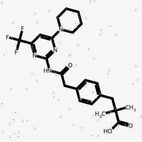 CC(C)(Cc1ccc(CC(=O)Nc2nc(N3CCCCC3)cc(C(F)(F)F)n2)cc1)C(=O)O